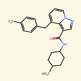 O=C(NC1CCC(C(=O)O)CC1)c1cnn2cccc(Cc3ccc(C(F)(F)F)cc3)c12